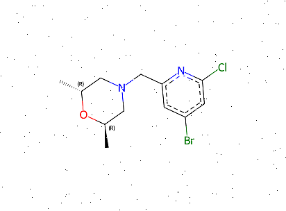 C[C@@H]1CN(Cc2cc(Br)cc(Cl)n2)C[C@@H](C)O1